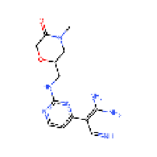 CN1CC(CNc2nccc(C(C=N)=C(N)N)n2)OCC1=O